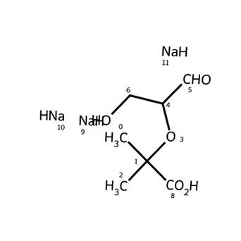 CC(C)(OC(C=O)CO)C(=O)O.[NaH].[NaH].[NaH]